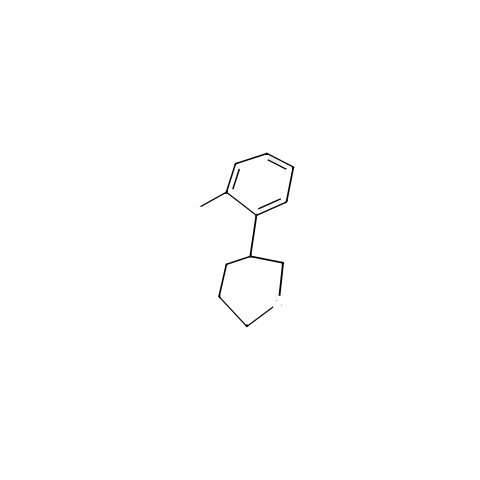 Brc1ccccc1C1CCCNC1